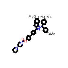 COc1ccc(C(c2ccc(OC)cc2)n2nc(-c3ccc(-c4ccc(OC(=O)N5CCC(N6CCCCC6)CC5)cc4)cc3)c3c2-c2cc(OC)c(OC)cc2C3)cc1